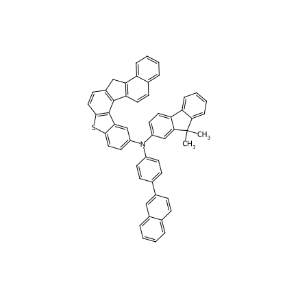 CC1(C)c2ccccc2-c2ccc(N(c3ccc(-c4ccc5ccccc5c4)cc3)c3ccc4sc5ccc6c(c5c4c3)-c3ccc4ccccc4c3C6)cc21